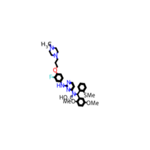 COc1ccc(OC)c(C(c2ccccc2SC)N(C(=O)O)c2ccnc(Nc3ccc(OCCCN4CCN(C)CC4)c(F)c3)n2)c1